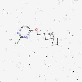 CC1(CCCOc2ccnc(Cl)n2)CCC1